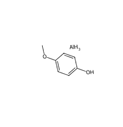 COc1ccc(O)cc1.[AlH3]